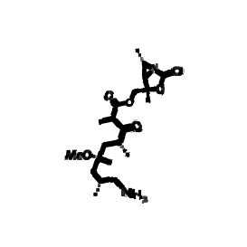 CO[C@](C)(C[C@@H](C)CN)C[C@@H](C)C(=O)C(C)C(=O)OC[C@@]1(C)OC(=O)N2C1[C@@H]2C